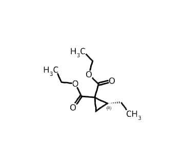 CCOC(=O)C1(C(=O)OCC)C[C@H]1CC